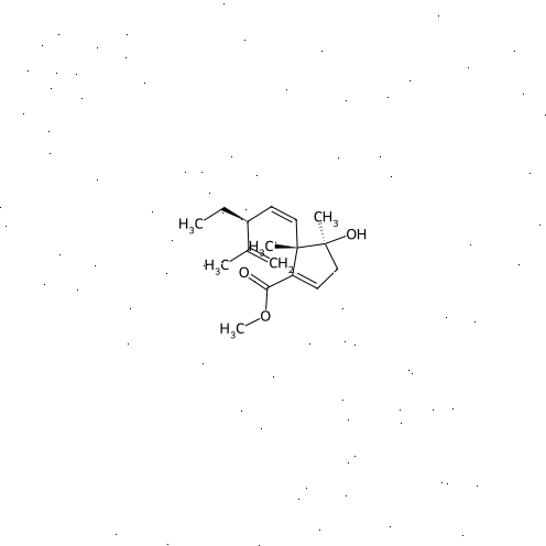 C=C(C)[C@H](/C=C\[C@@]1(C)C(C(=O)OC)=CC[C@]1(C)O)CC